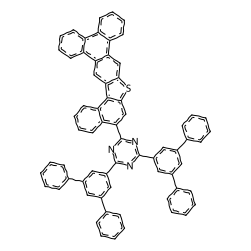 c1ccc(-c2cc(-c3ccccc3)cc(-c3nc(-c4cc(-c5ccccc5)cc(-c5ccccc5)c4)nc(-c4cc5sc6cc7c8ccccc8c8ccccc8c7cc6c5c5ccccc45)n3)c2)cc1